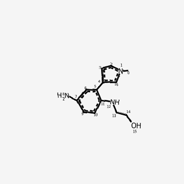 Cn1ccc(-c2cc(N)ccc2NCCO)c1